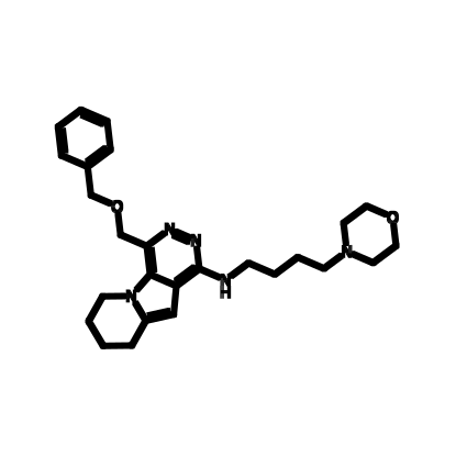 c1ccc(COCc2nnc(NCCCCN3CCOCC3)c3cc4n(c23)CCCC4)cc1